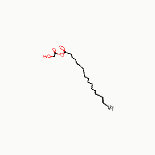 CC(C)CCCCCCCCCCCCCCC(=O)OC(=O)CO